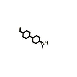 C=CC1CCC(C2CCC(NI)CC2)CC1